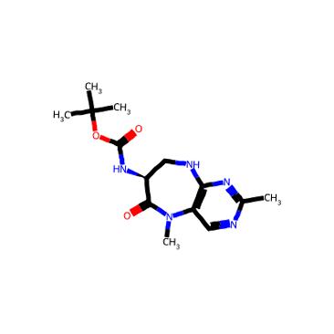 Cc1ncc2c(n1)NC[C@H](NC(=O)OC(C)(C)C)C(=O)N2C